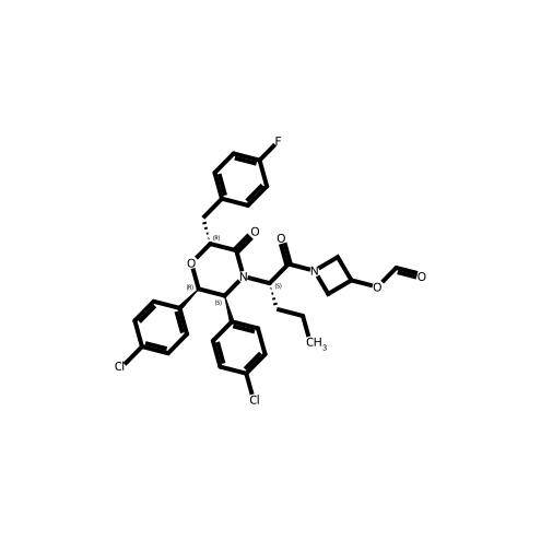 CCC[C@@H](C(=O)N1CC(OC=O)C1)N1C(=O)[C@@H](Cc2ccc(F)cc2)O[C@H](c2ccc(Cl)cc2)[C@@H]1c1ccc(Cl)cc1